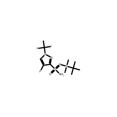 CC(F)(F)n1cc(F)c(S(N)(=O)=N[Si](C)(C)C(C)(C)C)n1